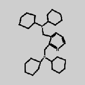 c1cnc(CP(C2CCCCC2)C2CCCCC2)c(CP(C2CCCCC2)C2CCCCC2)c1